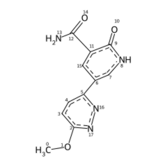 COc1ccc(-c2c[nH]c(=O)c(C(N)=O)c2)nn1